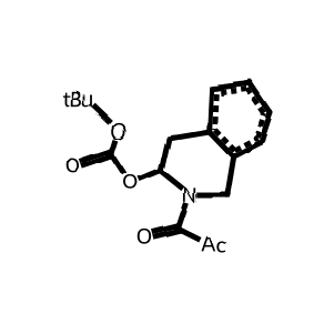 CC(=O)C(=O)N1Cc2ccccc2CC1OC(=O)OC(C)(C)C